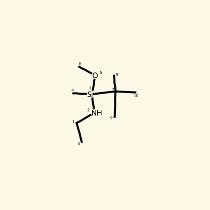 CCN[Si](C)(OC)C(C)(C)C